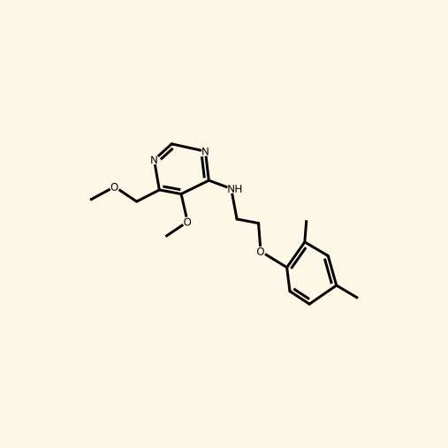 COCc1ncnc(NCCOc2ccc(C)cc2C)c1OC